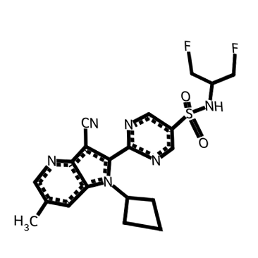 Cc1cnc2c(C#N)c(-c3ncc(S(=O)(=O)NC(CF)CF)cn3)n(C3CCC3)c2c1